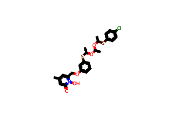 Cc1cc(COc2cccc(SC(C)OC(C)OC(C)Sc3ccc(Cl)cc3)c2)n(O)c(=O)c1